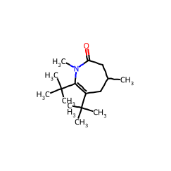 CC1CC(=O)N(C)C(C(C)(C)C)=C(C(C)(C)C)C1